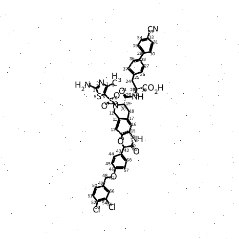 Cc1nc(N)sc1S(=O)(=O)N1Cc2cc3c(cc2C[C@H]1C(=O)N[C@@H](Cc1ccc(-c2ccc(C#N)cc2)cc1)C(=O)O)NC(=O)C(c1ccc(OCc2ccc(Cl)c(Cl)c2)cc1)O3